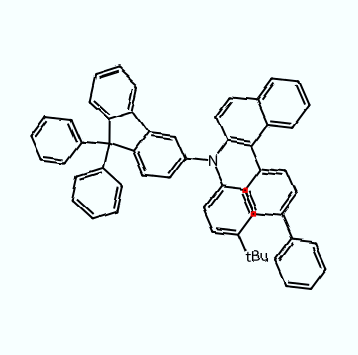 CC(C)(C)c1ccc(N(c2ccc3c(c2)-c2ccccc2C3(c2ccccc2)c2ccccc2)c2ccc3ccccc3c2-c2ccc(-c3ccccc3)cc2)cc1